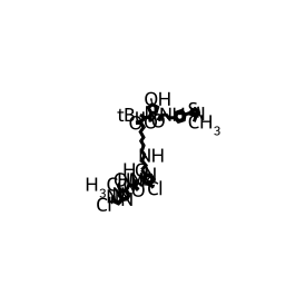 CO[C@@H](C)c1c(NC(=O)Nc2cc(Cl)cnc2OCCNCCCCCCC(=O)C(C(=O)N2C[C@@H](O)C[C@@H]2C(=O)NCc2ccc(-c3scnc3C)cc2)C(C)(C)C)cnc2cc(Cl)nn12